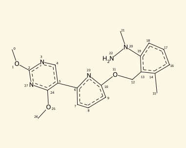 COc1ncc(-c2cccc(OCc3c(C)cccc3N(C)N)n2)c(OC)n1